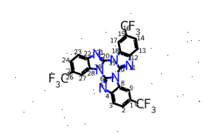 FC(F)(F)c1ccc2nc3n(c2c1)c1nc2ccc(C(F)(F)F)cc2n1c1nc2ccc(C(F)(F)F)cc2n31